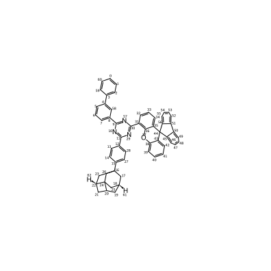 c1ccc(-c2cccc(-c3nc(-c4ccc(C56C[C@@H]7CC8C[C@H](C5)C8(C7)C6)cc4)nc(-c4cccc5c4Oc4ccccc4C54c5ccccc5-c5ccccc54)n3)c2)cc1